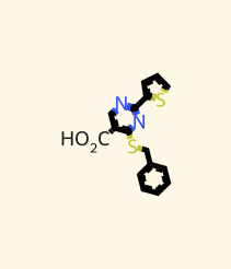 O=C(O)c1cnc(-c2cccs2)nc1SCc1ccccc1